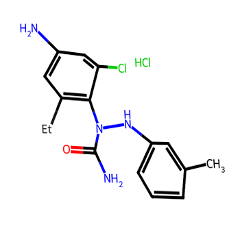 CCc1cc(N)cc(Cl)c1N(Nc1cccc(C)c1)C(N)=O.Cl